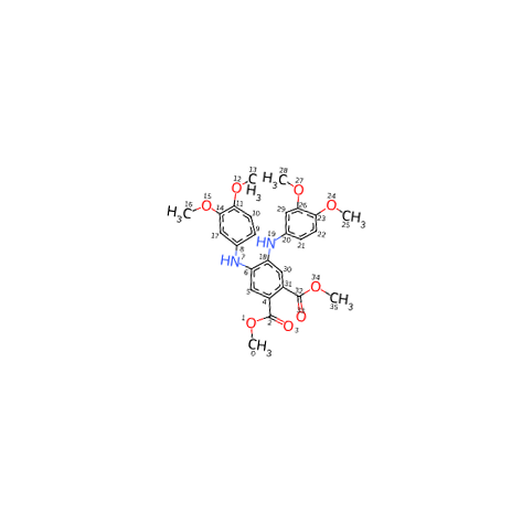 COC(=O)c1cc(Nc2ccc(OC)c(OC)c2)c(Nc2ccc(OC)c(OC)c2)cc1C(=O)OC